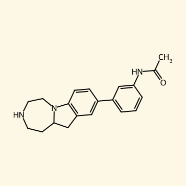 CC(=O)Nc1cccc(-c2ccc3c(c2)CC2CCNCCN32)c1